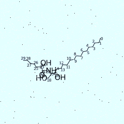 CCCCCCCCCCCCCCCC(O)C(CO)NC(=O)C(O)CCCCC